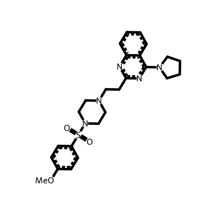 COc1ccc(S(=O)(=O)N2CCN(CCc3nc(N4CCCC4)c4ccccc4n3)CC2)cc1